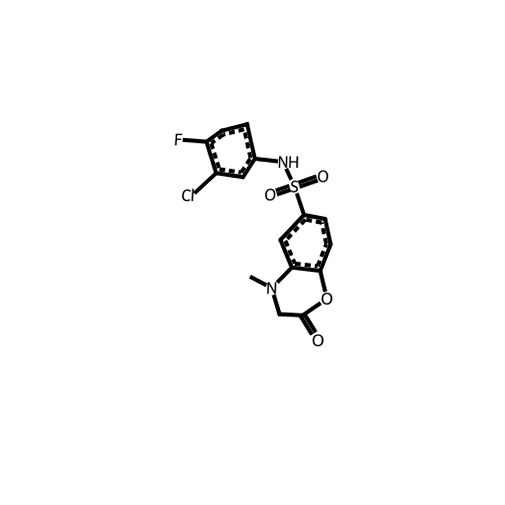 CN1CC(=O)Oc2ccc(S(=O)(=O)Nc3ccc(F)c(Cl)c3)cc21